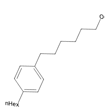 CCCCCCc1ccc(CCCCCC[O])cc1